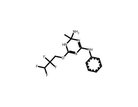 CC1(N)N=C(Nc2ccccc2)N=C(OCC(F)(F)C(F)F)N1